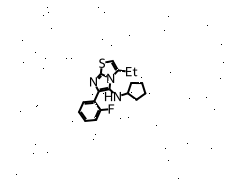 CCc1csc2nc(-c3ccccc3F)c(NC3CCCC3)n12